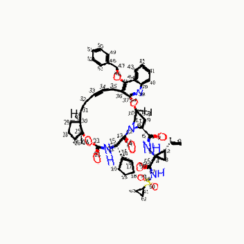 C=C[C@@H]1C[C@]1(NC(=O)[C@@H]1C[C@@H]2CN1C(=O)[C@H](C1CCCC1)NC(=O)O[C@]1(C)CCC[C@H]1CCC=CCc1c(nc3ccccc3c1OCc1ccccc1)O2)C(=O)NS(=O)(=O)C1CC1